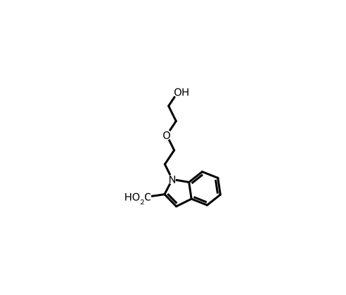 O=C(O)c1cc2ccccc2n1CCOCCO